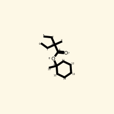 CCC(C)(CC)C(=O)OC1(C)CCCCC1